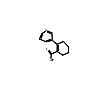 O=C(O)C1=C(c2[c]nccc2)CCCC1